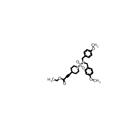 CCOC(=O)C#CC1CCN(S(=O)(=O)N(Cc2ccc(OC)cc2)Cc2ccc(OC)cc2)CC1